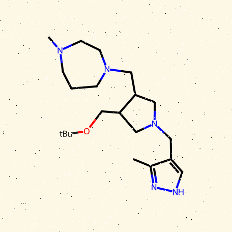 Cc1n[nH]cc1CN1CC(COC(C)(C)C)C(CN2CCCN(C)CC2)C1